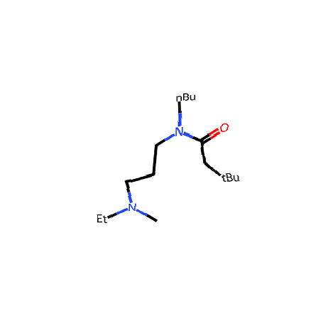 CCCCN(CCCN(C)CC)C(=O)CC(C)(C)C